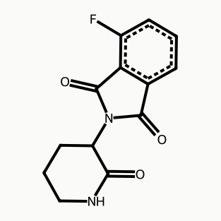 O=C1NCCCC1N1C(=O)c2cccc(F)c2C1=O